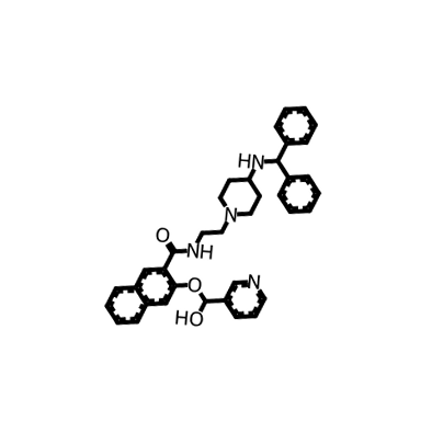 O=C(NCCN1CCC(NC(c2ccccc2)c2ccccc2)CC1)c1cc2ccccc2cc1OC(O)c1cccnc1